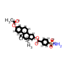 C=C[C@]12CC[C@]3(C)C[C@H](OC(=O)c4ccc(S(N)(=O)=O)cc4)CC3C1CCc1cc(OC(C)=O)ccc12